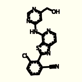 N#Cc1cccc(Cl)c1-c1nc2ccnc(Nc3cc(CO)ncn3)c2s1